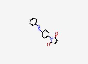 O=C1C=CC(=O)N1c1ccc(N=Nc2ccccc2)cc1